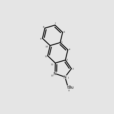 CC(C)(C)n1cc2cc3ccccc3cc2n1